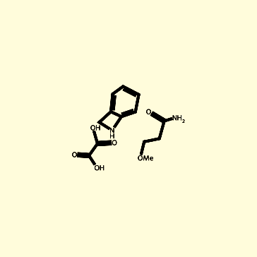 COCCC(N)=O.O=C(O)C(=O)O.c1ccc2c(c1)CN2